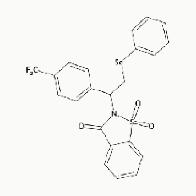 O=C1c2ccccc2S(=O)(=O)N1C(C[Se]c1ccccc1)c1ccc(C(F)(F)F)cc1